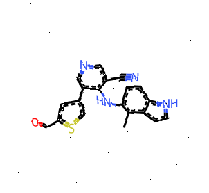 Cc1c(Nc2c(C#N)cncc2-c2csc(C=O)c2)ccc2[nH]ccc12